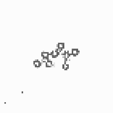 c1ccc(-c2nc(-c3ccccc3)nc(-n3c4ccccc4c4cc(-c5cccc6c5c5cnccc5n6-c5ccccc5)ccc43)n2)cc1